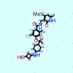 CSc1cc(C)[nH]c(=O)c1CNC(=O)c1cc(Cl)c2c(c1C)OC(C)(C1CCC(NC3CC(O)C3)CC1)O2